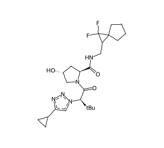 CC(C)(C)[C@H](C(=O)N1C[C@H](O)C[C@H]1C(=O)NCC1C(F)(F)C12CCCC2)n1cc(C2CC2)nn1